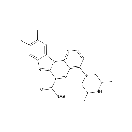 CNC(=O)c1cc2c(N3CC(C)NC(C)C3)ccnc2n2c1nc1cc(C)c(C)cc12